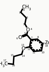 CCCCOC(=O)c1ccccc1OCCCC.[Zr]